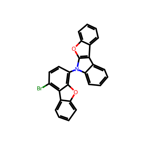 Brc1ccc(-n2c3ccccc3c3c4ccccc4oc32)c2oc3ccccc3c12